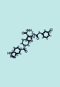 NC(=O)c1c(NC(=O)Cc2cccc(Cl)c2)sc2c1CCN(C(=O)c1ccc3[nH]nnc3c1)C2